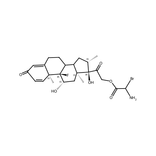 C[C@H]1CC2C3CCC4=CC(=O)C=C[C@]4(C)[C@@]3(F)[C@@H](O)C[C@]2(C)[C@@]1(O)C(=O)COC(=O)C(N)Br